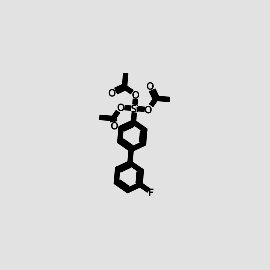 CC(=O)O[Si](OC(C)=O)(OC(C)=O)c1ccc(-c2cccc(F)c2)cc1